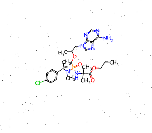 CCCOC(=O)C(C)(C)NP(=O)(COC(C)Cn1cnc2c(N)ncnc21)N(C)[C@H](C)c1ccc(Cl)cc1